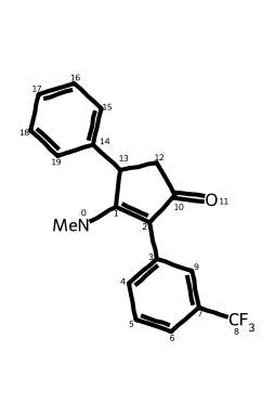 CNC1=C(c2cccc(C(F)(F)F)c2)C(=O)CC1c1ccccc1